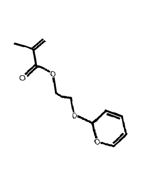 C=C(C)C(=O)OCCOC1C=CC=CO1